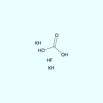 F.O=C(O)O.[KH].[KH]